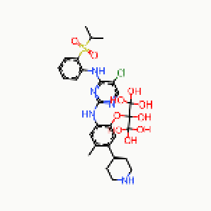 Cc1cc(Nc2ncc(Cl)c(Nc3ccccc3S(=O)(=O)C(C)C)n2)c(OC(O)(C(O)(O)O)C(O)(O)O)cc1C1CCNCC1